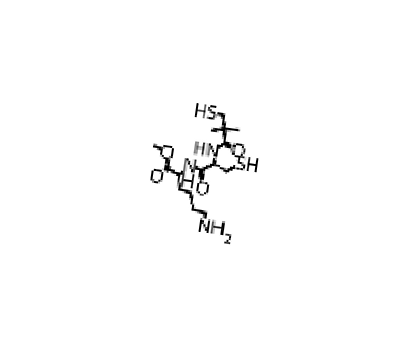 COC(=O)[C@H](CCCCN)NC(=O)[C@H](CS)NC(=O)C(C)(C)CS